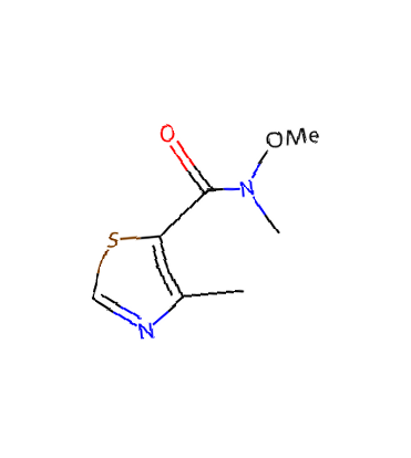 CON(C)C(=O)c1scnc1C